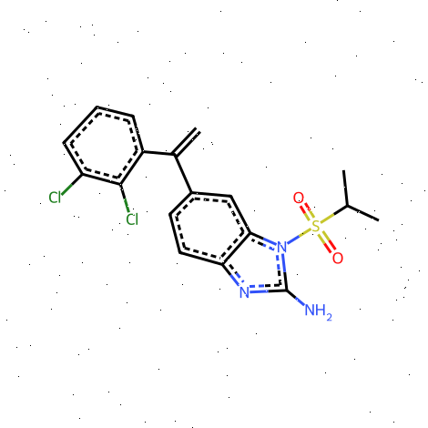 C=C(c1ccc2nc(N)n(S(=O)(=O)C(C)C)c2c1)c1cccc(Cl)c1Cl